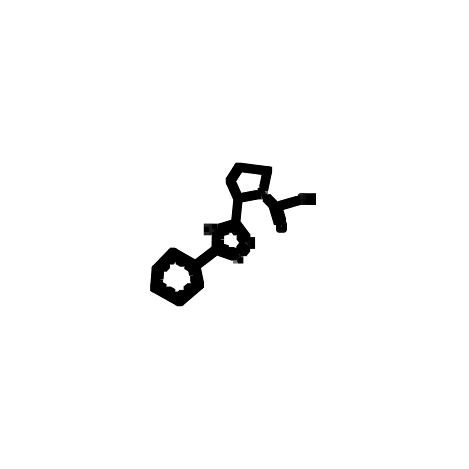 O=C(O)N1CCCC1c1nnc(-c2ccccc2)[nH]1